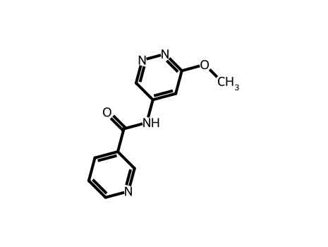 COc1cc(NC(=O)c2cccnc2)cnn1